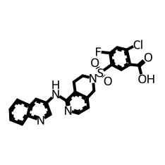 O=C(O)c1cc(S(=O)(=O)N2CCc3c(ccnc3Nc3cnc4ccccc4c3)C2)c(F)cc1Cl